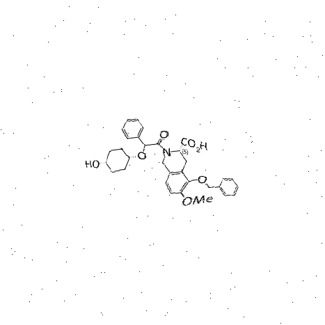 COc1ccc2c(c1OCc1ccccc1)C[C@@H](C(=O)O)N(C(=O)C(O[C@H]1CC[C@@H](O)CC1)c1ccccc1)C2